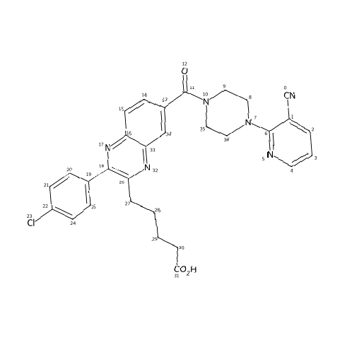 N#Cc1cccnc1N1CCN(C(=O)c2ccc3nc(-c4ccc(Cl)cc4)c(CCCCC(=O)O)nc3c2)CC1